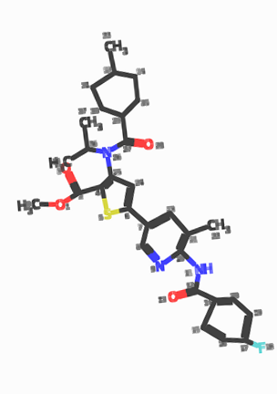 COC(=O)c1sc(-c2cnc(NC(=O)c3ccc(F)cc3)c(C)c2)cc1N(C(=O)C1CCC(C)CC1)C(C)C